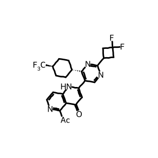 CC(=O)c1nccc2[nH]c(-c3cnc(C4CC(F)(F)C4)nc3[C@H]3CC[C@H](C(F)(F)F)CC3)cc(=O)c12